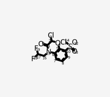 O=C1C(Cl)Oc2c(cccc2S(=O)(=O)Cl)N1CC(F)F